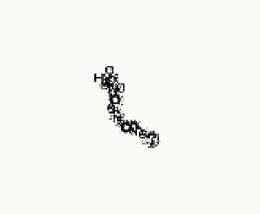 O=C1CCC(N2Cc3cc(O[C@H]4CCN(Cc5ccc6nc(COC7CCOCC7)ccc6c5)C4)ccc3C2=O)C(=O)N1